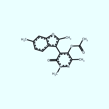 CC(=O)Oc1c(C)nn(C)c(=O)c1-c1c(C)oc2cc(C)ccc12